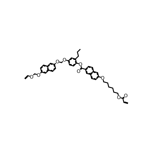 C=COCOc1ccc2cc(OCOc3ccc(OC(=O)c4ccc5cc(OCCCCCCOC(=O)C=C)ccc5c4)c(CCC)c3)ccc2c1